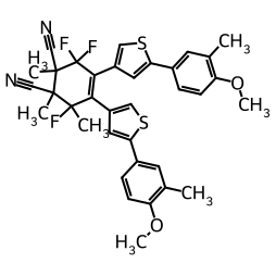 COc1ccc(-c2cc(C3=C(c4csc(-c5ccc(OC)c(C)c5)c4)C(F)(F)C(C)(C#N)C(C)(C#N)C3(C)F)cs2)cc1C